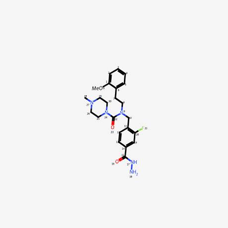 COc1ccccc1CCN(Cc1ccc(C(=O)NN)cc1F)C(=O)N1CCN(C)CC1